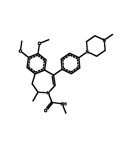 CNC(=O)N1C=C(c2ccc(N3CCN(C)CC3)cc2)c2cc(OC)c(OC)cc2CC1C